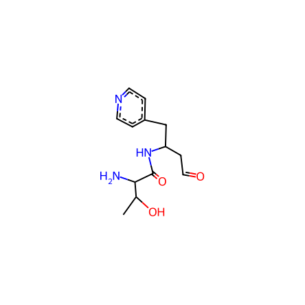 CC(O)C(N)C(=O)NC(CC=O)Cc1ccncc1